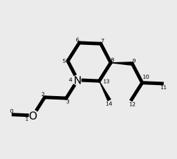 COCCN1CCC[C@@H](CC(C)C)[C@H]1C